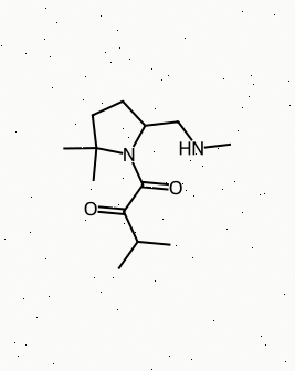 CNCC1CCC(C)(C)N1C(=O)C(=O)C(C)C